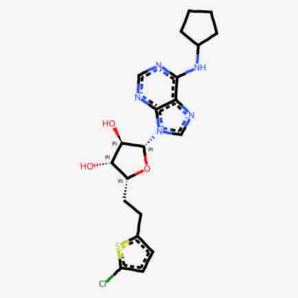 O[C@@H]1[C@@H](O)[C@@H](CCc2ccc(Cl)s2)O[C@H]1n1cnc2c(NC3CCCC3)ncnc21